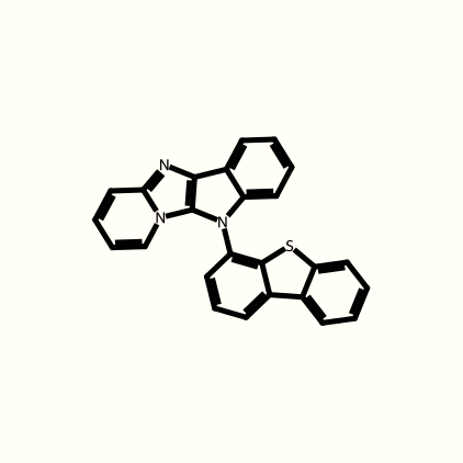 c1ccc2c(c1)sc1c(-n3c4ccccc4c4nc5ccccn5c43)cccc12